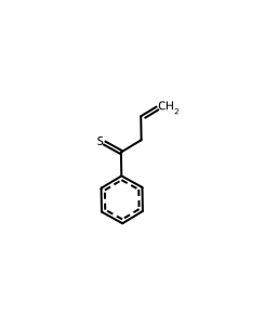 C=CCC(=S)c1ccccc1